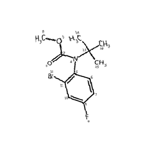 COC(=O)N(c1ccc(F)cc1Br)C(C)(C)C